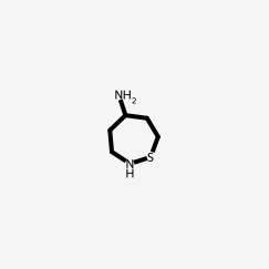 NC1CCNSCC1